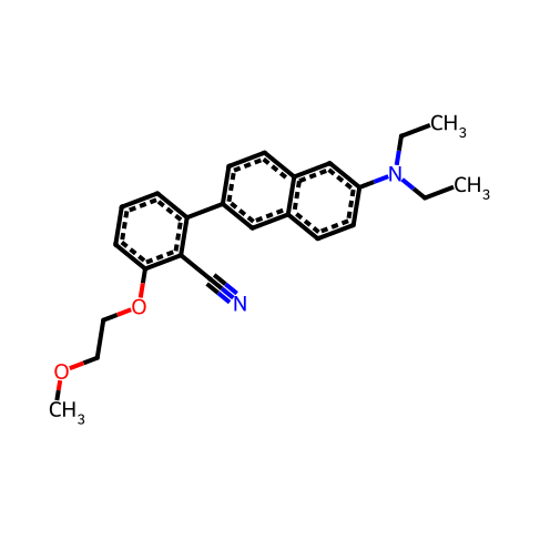 CCN(CC)c1ccc2cc(-c3cccc(OCCOC)c3C#N)ccc2c1